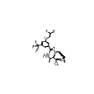 CC(NC(=O)c1cc(OCC(F)F)cc(C(F)(F)F)c1)c1nccnc1Cl